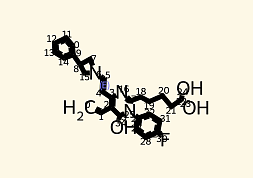 C=CC1=C(/C=C/N2CC(c3ccccc3)C2)N=C(CCCCC(O)O)N(c2ccc(F)cc2)C1O